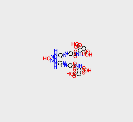 Cc1cc(Nc2nc(O)nc(Nc3ccc(/N=N/c4ccc(S(=O)(=O)Nc5cc(S(=O)(=O)O)c6cccc(S(=O)(=O)O)c6c5)cc4)c(C)c3)n2)ccc1/N=N/c1ccc(S(=O)(=O)Nc2cc(S(=O)(=O)O)c3cccc(S(=O)(=O)O)c3c2)cc1